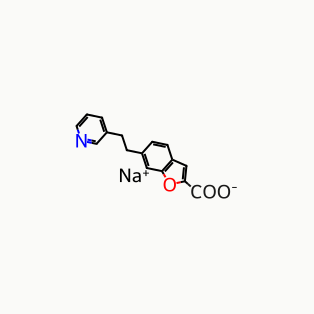 O=C([O-])c1cc2ccc(CCc3cccnc3)cc2o1.[Na+]